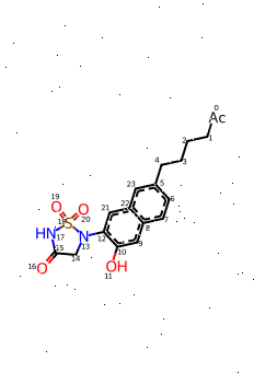 CC(=O)CCCCc1ccc2cc(O)c(N3CC(=O)NS3(=O)=O)cc2c1